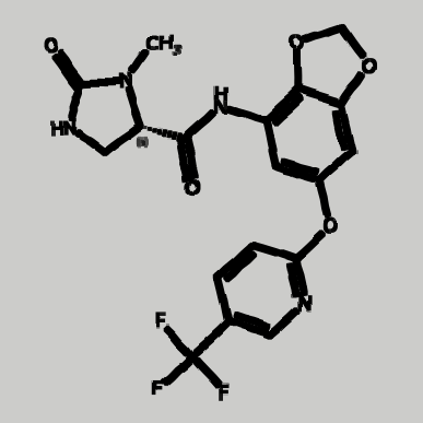 CN1C(=O)NC[C@H]1C(=O)Nc1cc(Oc2ccc(C(F)(F)F)cn2)cc2c1OCO2